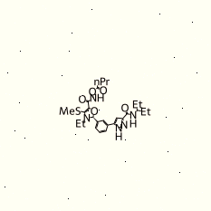 CCCC(=O)ONC(=O)C1=C(SC)N(CC)[C@H](c2cccc(-c3cc(C(=O)NC(CC)CC)n[nH]3)c2)O1